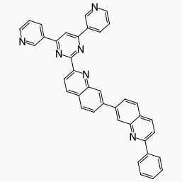 c1ccc(-c2ccc3ccc(-c4ccc5ccc(-c6nc(-c7cccnc7)cc(-c7cccnc7)n6)nc5c4)cc3n2)cc1